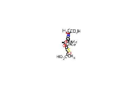 COc1cc2c(cc1OCC1(COc3cc4cc(C(=O)C[C@H](C)C(=O)O)sc4cc3OC)CC1)CN(C(=O)C[C@H](C)C(=O)O)C2